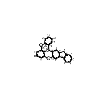 c1ccc2c(c1)Cc1cc3c(cc1-2)Oc1cccc2c1B3c1ccccc1O2